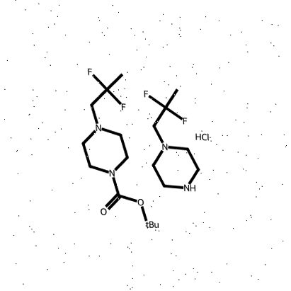 CC(F)(F)CN1CCN(C(=O)OC(C)(C)C)CC1.CC(F)(F)CN1CCNCC1.Cl